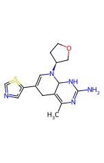 CC1=C2CC(c3cncs3)=CN([C@H]3CCOC3)C2NC(N)=N1